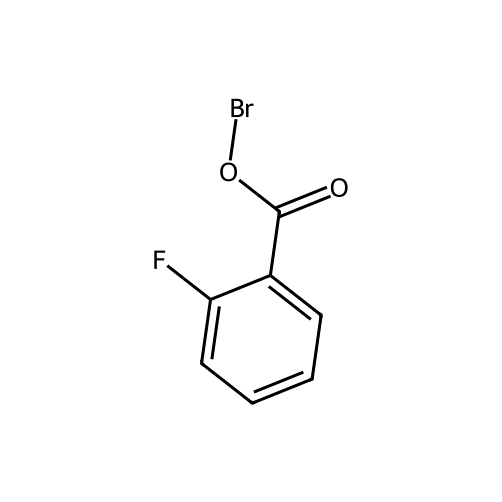 O=C(OBr)c1ccccc1F